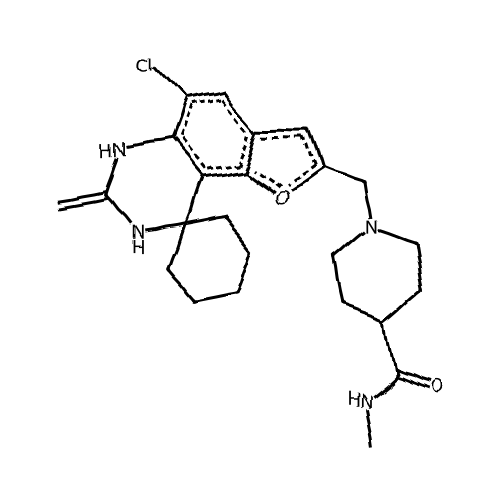 C=C1Nc2c(Cl)cc3cc(CN4CCC(C(=O)NC)CC4)oc3c2C2(CCCCC2)N1